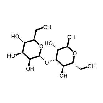 OC[C@H]1O[C@H](O[C@H]2[C@H](O)[C@@H](CO)OC(O)[C@H]2O)[C@@H](O)[C@@H](O)[C@@H]1O